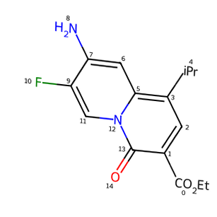 CCOC(=O)c1cc(C(C)C)c2cc(N)c(F)cn2c1=O